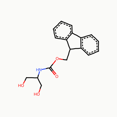 O=C(NC(CO)CO)OCC1c2ccccc2-c2ccccc21